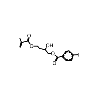 C=C(C)C(=O)OCCC(O)COC(=O)c1ccc(I)cc1